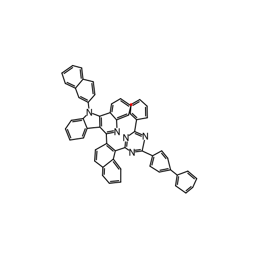 c1ccc(-c2ccc(-c3nc(-c4ccccc4)nc(-c4c(-c5nc6ccccc6c6c5c5ccccc5n6-c5ccc6ccccc6c5)ccc5ccccc45)n3)cc2)cc1